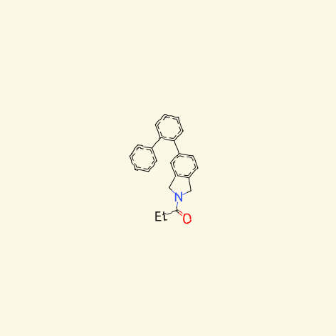 CCC(=O)N1Cc2ccc(-c3ccccc3-c3ccccc3)cc2C1